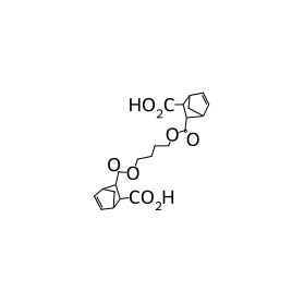 O=C(O)C1C2C=CC(C2)C1C(=O)OCCCCOC(=O)C1C2C=CC(C2)C1C(=O)O